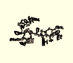 Br.CCOc1cc2c(c(F)c1OCC)C(=N)N(CC(=O)c1cc(C(=O)N(C)CC(=O)O)c(OC)c(C(C)(C)C)c1)C2